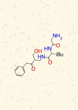 CCC(C)C(NC(=O)CN)C(=O)NCC(CO)C(=O)Cc1ccccc1